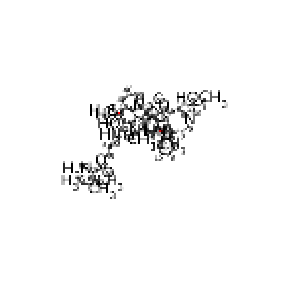 CCC1(O)CC2CN(CCc3c([nH]c4ccccc34)[C@@](C(=O)OC)(c3cc4c(cc3OC)N(C)C3C45CCN4CC=C[C@](CC)(C45)[C@@H](O)[C@]3(O)C(=O)NCCCOC(=O)C(N)C(C)(C)C)C2)C1